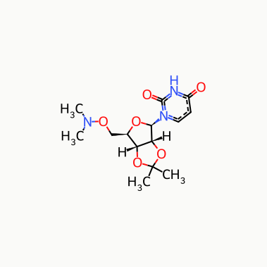 CN(C)OC[C@H]1O[C@@H](n2ccc(=O)[nH]c2=O)[C@@H]2OC(C)(C)O[C@@H]21